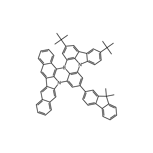 CC(C)(C)c1ccc2c(c1)c1cc(C(C)(C)C)cc3c1n2-c1cc(-c2ccc4c(c2)C(C)(C)c2ccccc2-4)cc2c1B3c1c3ccccc3cc3c4cc5ccccc5cc4n-2c13